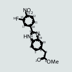 COC(=O)Cc1ccc2[nH]c(-c3ccc([N+](=O)[O-])c(F)c3)nc2c1